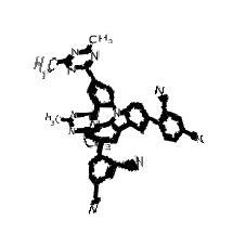 Cc1nc(C)nc(-c2ccc(-n3c4ccc(-c5ccc(C#N)cc5C#N)cc4c4cc(-c5ccc(C#N)cc5C#N)ccc43)c(-c3nc(C)nc(C)n3)c2)n1